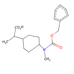 CC(C(=O)O)C1CCC(N(C)C(=O)OCc2ccccc2)CC1